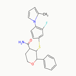 Cc1cccn1-c1ccc(SC2C(C(N)=O)CCOC2c2ccccc2)cc1F